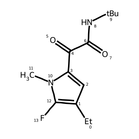 CCc1cc(C(=O)C(=O)NC(C)(C)C)n(C)c1F